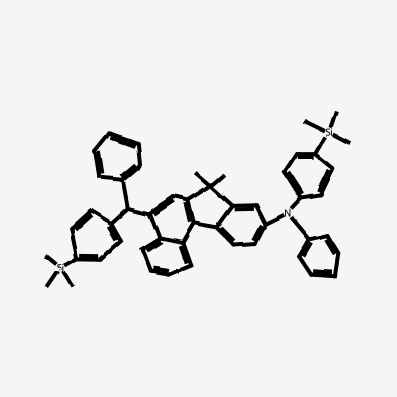 CC1(C)c2cc(N(c3ccccc3)c3ccc([Si](C)(C)C)cc3)ccc2-c2c1cc(C(c1ccccc1)c1ccc([Si](C)(C)C)cc1)c1ccccc21